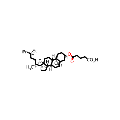 CC[C@H](CC[C@@H](C)[C@H]1CC[C@H]2[C@@H]3CC=C4C[C@@H](OC(=O)CCCC(=O)O)CC[C@]4(C)[C@H]3CC[C@]12C)C(C)C